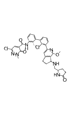 COc1nc(-c2cccc(-c3cccc(NC(=O)c4cc(Cl)nn(C)c4=O)c3C)c2Cl)cc2c1C(NCC1CCC(=O)N1)CC2